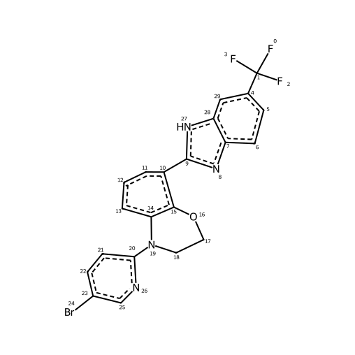 FC(F)(F)c1ccc2nc(-c3cccc4c3OCCN4c3ccc(Br)cn3)[nH]c2c1